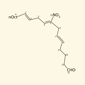 CCCCCCCC/C=C/C/C=C(/C/C=C/CCC[C]=O)[N+](=O)[O-]